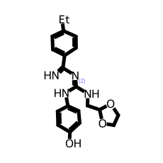 CCc1ccc(C(=N)/N=C(/NCC2OCCO2)Nc2ccc(O)cc2)cc1